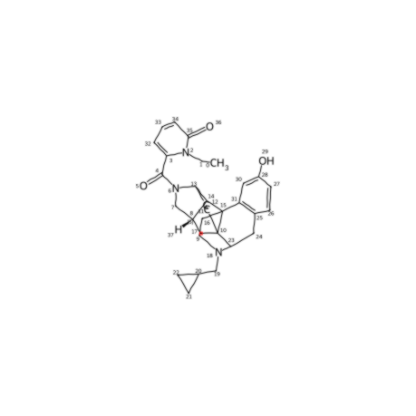 CCn1c(C(=O)N2C[C@H]3CC45CCC2C3C42CCN(CC3CC3)C5Cc3ccc(O)cc32)cccc1=O